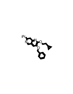 CC(C)C1Cc2nc(OCCC3CC3)c(OCc3ccccc3)cc2C=N1